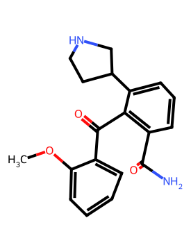 COc1ccccc1C(=O)c1c(C(N)=O)cccc1C1CCNC1